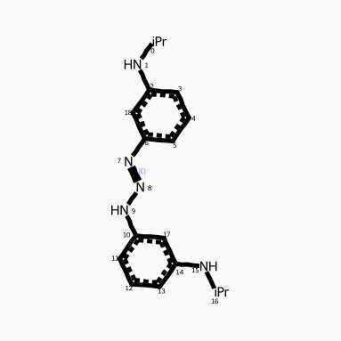 CC(C)Nc1cccc(/N=N/Nc2cccc(NC(C)C)c2)c1